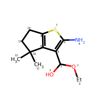 CCOC(O)c1c(N)sc2c1C(C)(C)CC2